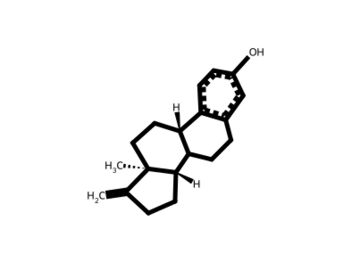 C=C1CC[C@H]2C3CCc4cc(O)ccc4[C@H]3CC[C@]12C